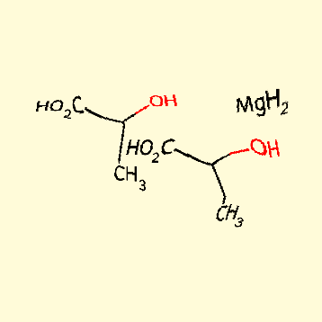 CC(O)C(=O)O.CC(O)C(=O)O.[MgH2]